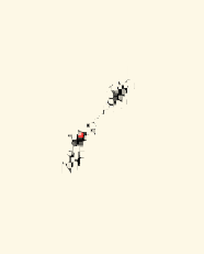 O=C1CCC(N2C(=O)c3ccc(OCCCCCC4CCN(C[C@H]5C[C@H](Oc6ncc(-c7ccc8c9cnccc9n(C(F)F)c8c7)cc6C(F)(F)F)C5)CC4)cc3C2=O)C(=O)N1